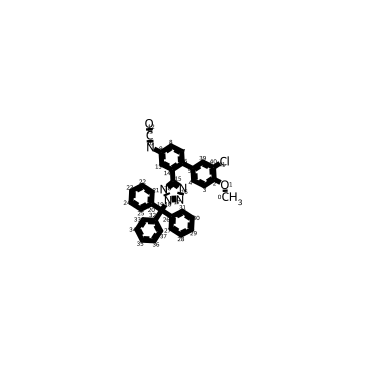 COc1ccc(-c2ccc(N=C=O)cc2-c2nnn(C(c3ccccc3)(c3ccccc3)c3ccccc3)n2)cc1Cl